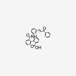 O=C(/C=C/c1cccc(NC(=O)c2ccccc2-c2ccccc2C(=O)O)c1)c1ccccc1